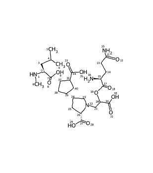 CN[C@@H](CC(C)C)C(=O)O.NC(=O)CC[C@H](N)C(=O)OC(CN1CCC[C@H]1C(=O)O)C(=O)O.O=C(O)C1CCCC1